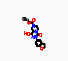 CC(C)(C)OC(=O)N1CCN(C(=O)Nc2ccc3c(c2)CCO3)C(CO)C1